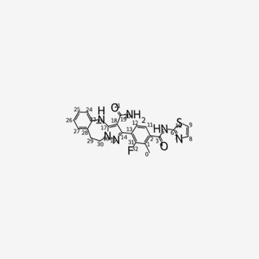 Cc1c(C(=O)Nc2nccs2)ccc(-c2nn3c(c2C(N)=O)Nc2ccccc2CC3)c1F